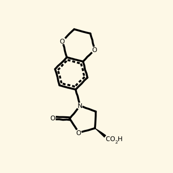 O=C(O)[C@@H]1CN(c2ccc3c(c2)OCCO3)C(=O)O1